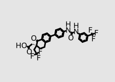 O=C(O)C[C@@]1(CC(F)(F)F)CCc2cc(-c3ccc(NC(=O)Nc4cccc(C(F)(F)F)c4)cc3)ccc2C1=O